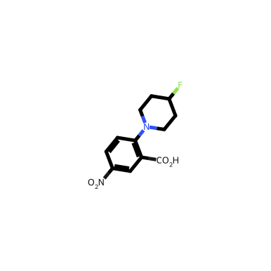 O=C(O)c1cc([N+](=O)[O-])ccc1N1CCC(F)CC1